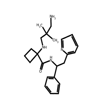 CC(C)(CN)CNC1(C(=O)NC(Cc2ccccn2)c2ccccc2)CCC1